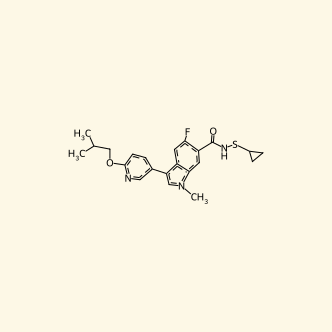 CC(C)COc1ccc(-c2cn(C)c3cc(C(=O)NSC4CC4)c(F)cc23)cn1